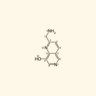 NCc1ccc2cncc(O)c2n1